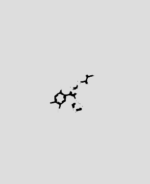 C=C(C)C(=O)Nc1nc(-c2cc(F)c(Cl)cc2Cl)c(-n2cncn2)s1